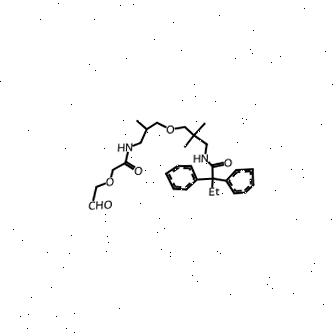 CCC(C(=O)NCC(C)(C)COCC(C)CNC(=O)COCC=O)(c1ccccc1)c1ccccc1